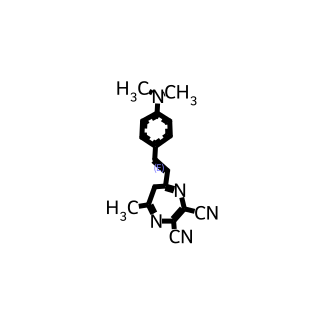 CC1=NC(C#N)=C(C#N)N=C(/C=C/c2ccc(N(C)C)cc2)C1